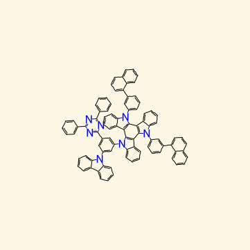 c1ccc(-c2nc(-c3ccccc3)nc(-c3cc(-n4c5ccccc5c5ccccc54)cc(-n4c5ccccc5c5c6c(c7ccccc7n6-c6cccc(-c7cccc8ccccc78)c6)c6c(c7ccccc7n6-c6cccc(-c7cccc8ccccc78)c6)c54)c3)n2)cc1